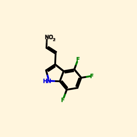 O=[N+]([O-])C=Cc1c[nH]c2c(F)cc(F)c(F)c12